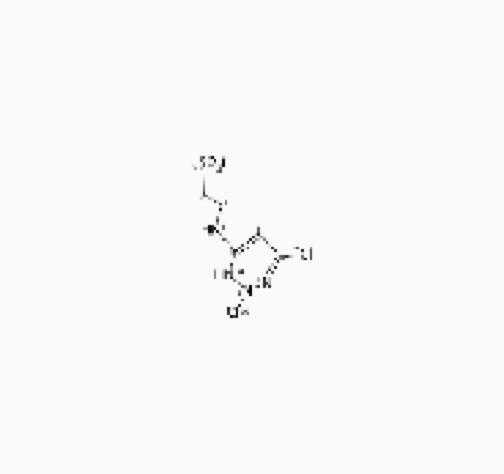 O=S(=O)(O)CCNC1=CC(Cl)=NN(Cl)N1